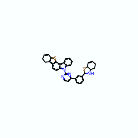 C1=Cc2sc3c(ccc4c3c3ccccc3n4-c3nccc(-c4cccc(C5NC6CCC=CC6S5)c4)n3)c2CC1